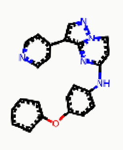 c1ccc(Oc2ccc(Nc3ccn4ncc(-c5ccncc5)c4n3)cc2)cc1